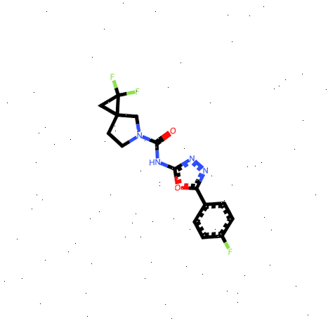 O=C(Nc1nnc(-c2ccc(F)cc2)o1)N1CCC2(C1)CC2(F)F